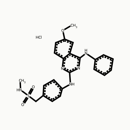 CNS(=O)(=O)Cc1ccc(Nc2nc(Nc3ccccc3)c3cc(OC)ccc3n2)cc1.Cl